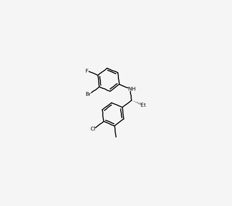 CC[C@@H](Nc1ccc(F)c(Br)c1)c1ccc(Cl)c(C)c1